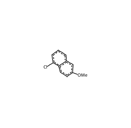 COc1[c]cc2c(Cl)cccc2c1